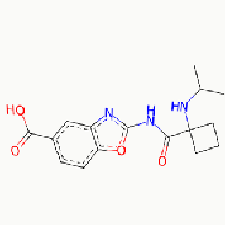 CC(C)NC1(C(=O)Nc2nc3cc(C(=O)O)ccc3o2)CCC1